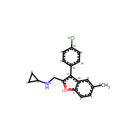 Cc1ccc2oc(CNC3CC3)c(-c3ccc(Cl)cc3)c2c1